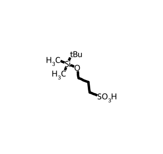 CC(C)(C)[Si](C)(C)OCCCS(=O)(=O)O